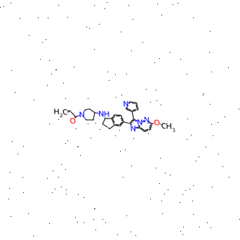 C=CC(=O)N1CCC(N[C@H]2CCc3cc(-c4nc5ccc(OC)nn5c4-c4cccnc4)ccc32)CC1